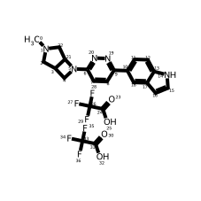 CN1CC2CN(c3ccc(-c4ccc5[nH]ccc5c4)nn3)C2C1.O=C(O)C(F)(F)F.O=C(O)C(F)(F)F